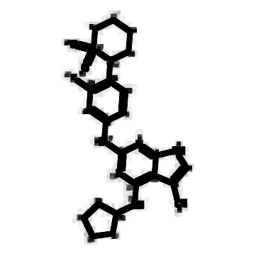 N#Cc1c[nH]c2nc(Nc3ccc(N4CCCCS4(=O)=O)c(F)c3)nc(NC3CCCC3)c12